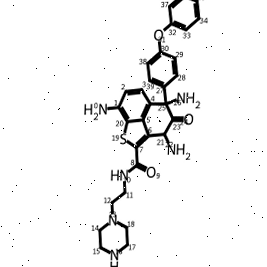 Nc1ccc2c3c(c(C(=O)NCCN4CCNCC4)sc13)C(N)C(=O)C2(N)c1ccc(Oc2ccccc2)cc1